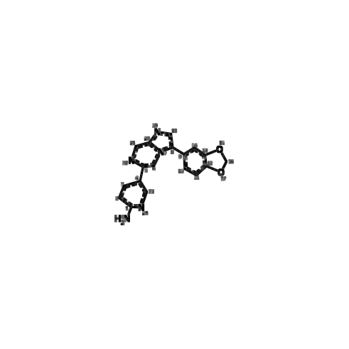 Nc1ccc(-c2cn3c(-c4ccc5c(c4)OCO5)cnc3cn2)cn1